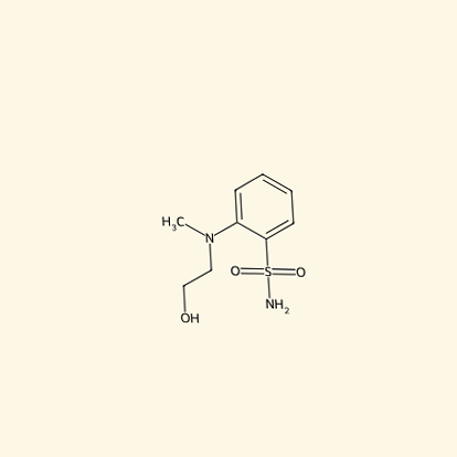 CN(CCO)c1ccccc1S(N)(=O)=O